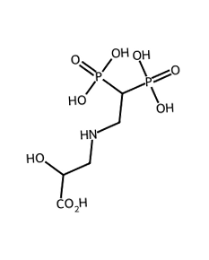 O=C(O)C(O)CNCC(P(=O)(O)O)P(=O)(O)O